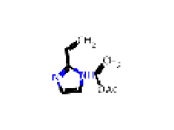 C=COC(C)=O.C=Cc1ncc[nH]1